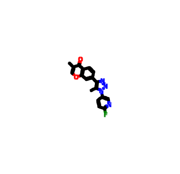 Cc1coc2cc(-c3nnn(-c4ccc(F)nc4)c3C)ccc2c1=O